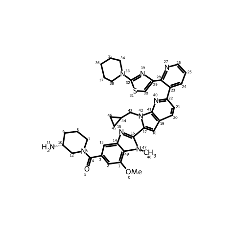 COc1cc(C(=O)N2CCC[C@@H](N)C2)cc2nc(-c3cc4ccc(-c5cccnc5-c5csc(N6CCCCC6)n5)nc4n3CC3CC3)n(C)c12